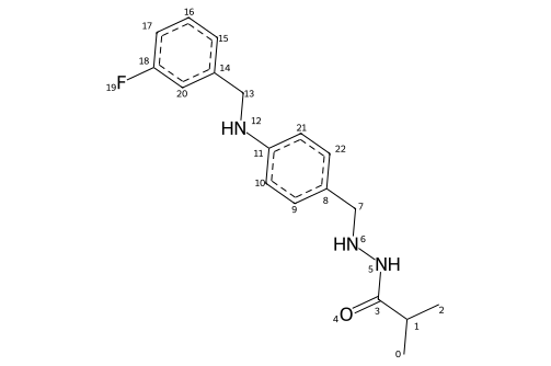 CC(C)C(=O)NNCc1ccc(NCc2cccc(F)c2)cc1